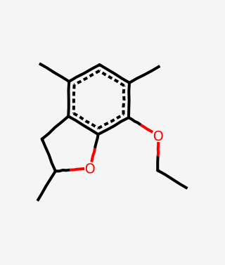 CCOc1c(C)cc(C)c2c1OC(C)C2